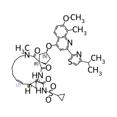 COc1ccc2c(O[C@H]3CC[C@@]4(C3)C(=O)N[C@]3(C(=O)NS(=O)(=O)C5CC5)C[C@@H]3/C=C\CCCCN(C)C4=O)cc(-c3nc(C(C)C)cs3)nc2c1C